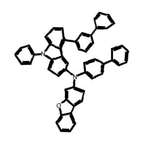 c1ccc(-c2ccc(N(c3ccc4c(c3)oc3ccccc34)c3ccc4c(c3)c3c(-c5cccc(-c6ccccc6)c5)cccc3n4-c3ccccc3)cc2)cc1